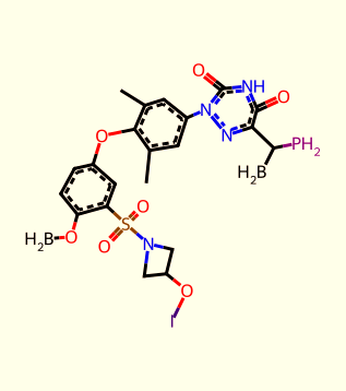 BOc1ccc(Oc2c(C)cc(-n3nc(C(B)P)c(=O)[nH]c3=O)cc2C)cc1S(=O)(=O)N1CC(OI)C1